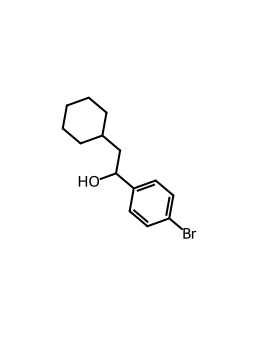 OC(CC1CCCCC1)c1ccc(Br)cc1